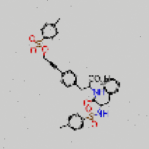 Cc1ccc(S(=O)(=O)NC(Cc2ccccc2)C(=O)NC(Cc2ccc(C#CCOS(=O)(=O)c3ccc(C)cc3)cc2)C(=O)O)cc1